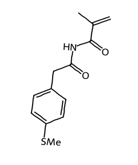 C=C(C)C(=O)NC(=O)Cc1ccc(SC)cc1